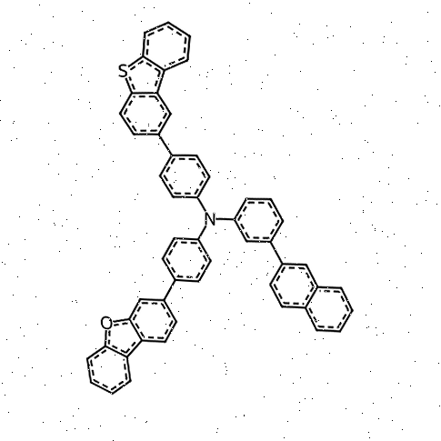 c1cc(-c2ccc3ccccc3c2)cc(N(c2ccc(-c3ccc4c(c3)oc3ccccc34)cc2)c2ccc(-c3ccc4sc5ccccc5c4c3)cc2)c1